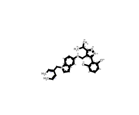 C/C=C\C(=C/C)Cn1ccc2cc(OCc3c(-c4c(Cl)cccc4Cl)noc3C(C)C)ccc21